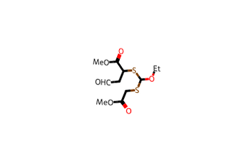 CCOC(SCC(=O)OC)SC(CC=O)C(=O)OC